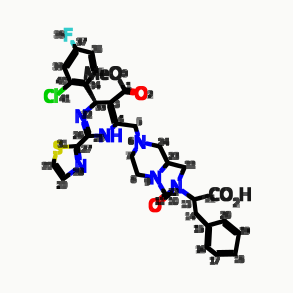 COC(=O)C1=C(CN2CCN3C(=O)N(C(Cc4ccccc4)C(=O)O)CC3C2)NC(c2nccs2)=N[C@H]1c1ccc(F)cc1Cl